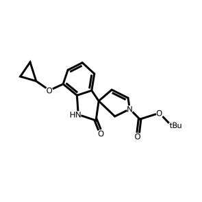 CC(C)(C)OC(=O)N1C=CC2(C1)C(=O)Nc1c(OC3CC3)cccc12